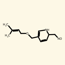 CC(C)=CCOCC1=CNC(CN=O)C=C1